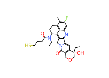 CCN(C(=O)CCCS)[C@H]1CCc2c(C)c(F)cc3nc4c(c1c23)Cn1c-4cc2c(c1=O)COC[C@]2(O)CC